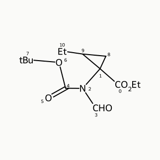 CCOC(=O)C1(N(C=O)C(=O)OC(C)(C)C)CC1CC